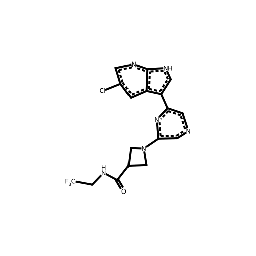 O=C(NCC(F)(F)F)C1CN(c2cncc(-c3c[nH]c4ncc(Cl)cc34)n2)C1